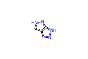 c1n[nH]c2n[nH]cc12